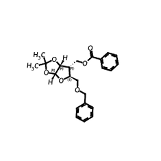 CC1(C)O[C@H]2O[C@H](COCc3ccccc3)[C@@H](COC(=O)c3ccccc3)[C@H]2O1